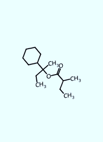 CCC(C)C(=O)OC(C)(CC)C1CCCCC1